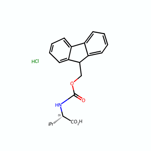 CC(C)[C@H](NC(=O)OCC1c2ccccc2-c2ccccc21)C(=O)O.Cl